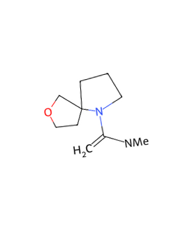 C=C(NC)N1CCCC12CCOC2